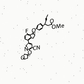 CC#CC(CC(=O)OC)c1ccc(O[C@@H]2CCc3c(-c4cnc(O[C@@H]5CCOC5)c(C#N)c4)ccc(F)c32)cc1